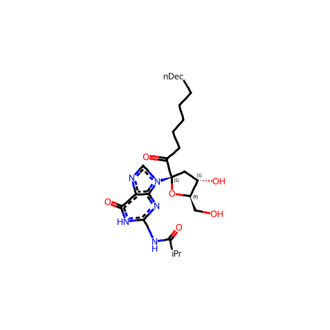 CCCCCCCCCCCCCCCC(=O)[C@]1(n2cnc3c(=O)[nH]c(NC(=O)C(C)C)nc32)C[C@H](O)[C@@H](CO)O1